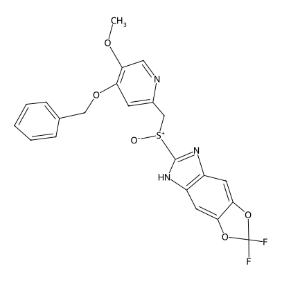 COc1cnc(C[S+]([O-])c2nc3cc4c(cc3[nH]2)OC(F)(F)O4)cc1OCc1ccccc1